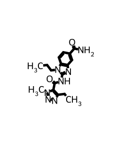 CCCn1c(NC(=O)c2c(CC)nnn2C)nc2cc(C(N)=O)ccc21